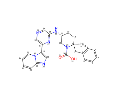 C[C@@]1(Cc2ccccc2)CC[C@@H](Nc2cncc(-c3cnc4ccccn34)n2)CN1C(=O)O